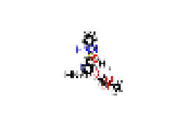 Cc1c(OCC23COC(C4CCC4)(OC2)OC3)ccnc1C[S+]([O-])c1nc2ccccc2[nH]1.[NaH]